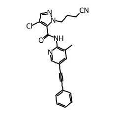 Cc1cc(C#Cc2ccccc2)cnc1NC(=O)c1c(Cl)cnn1CCCC#N